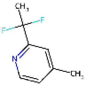 Cc1ccnc(C(C)(F)F)c1